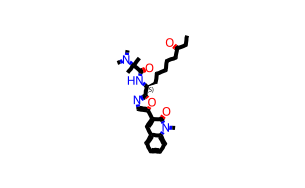 CCC(=O)CCCCC[C@H](NC(=O)C(C)(C)N(C)C)c1ncc(-c2cc3ccccc3n(C)c2=O)o1